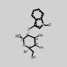 OC[C@@]1(Br)O[C@@H](O)[C@H](Oc2cn(Cl)c3ccccc23)[C@@H](O)[C@H]1O